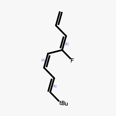 C=C\C=C(F)/C=C\C=C\C(C)(C)C